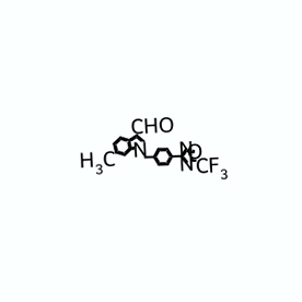 Cc1ccc2c(C=O)cn(Cc3ccc(-c4noc(C(F)(F)F)n4)cc3)c2c1